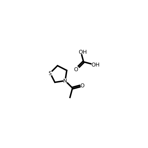 CC(=O)N1CCSC1.O=C(O)O